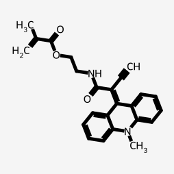 C#CC(C(=O)NCCOC(=O)C(=C)C)=C1c2ccccc2N(C)c2ccccc21